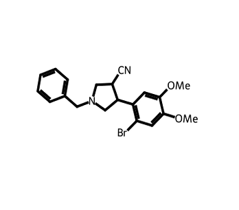 COc1cc(Br)c(C2CN(Cc3ccccc3)CC2C#N)cc1OC